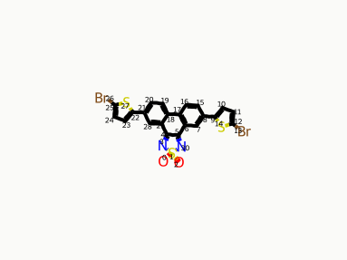 O=S1(=O)N=c2c(c3cc(-c4ccc(Br)s4)ccc3c3ccc(-c4ccc(Br)s4)cc23)=N1